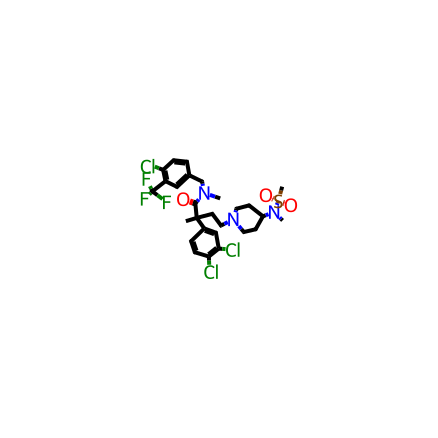 CN(Cc1ccc(Cl)c(C(F)(F)F)c1)C(=O)C(C)(CCN1CCC(N(C)S(C)(=O)=O)CC1)c1ccc(Cl)c(Cl)c1